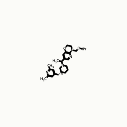 Cc1cc(C[C@H]2CCCN(C(C)c3cnc4c(c3)OCCN4COC(C)C)C2)cc(C)n1